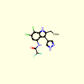 COCc1[nH]c2c(Cl)c(Cl)cc(NC(=O)C(F)F)c2c1-c1cn[nH]c1